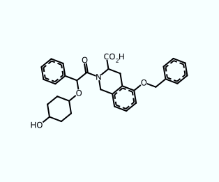 O=C(O)C1Cc2c(cccc2OCc2ccccc2)CN1C(=O)C(OC1CCC(O)CC1)c1ccccc1